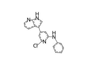 Clc1cc(-c2c[nH]c3ncccc23)cc(Nc2ccccc2)n1